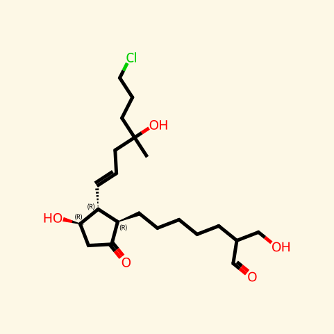 CC(O)(CC=C[C@H]1[C@H](O)CC(=O)[C@@H]1CCCCCC(C=O)CO)CCCCl